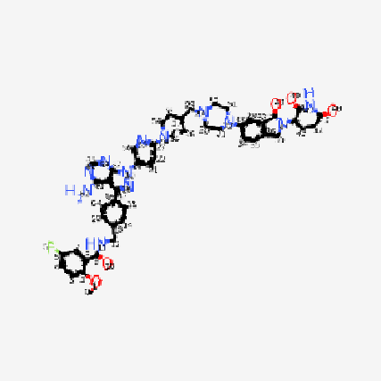 COc1ccc(F)cc1C(=O)NCc1ccc(-c2nn(-c3ccc(N4CCC(CN5CCN(c6ccc7c(c6)C(=O)N(C6CCC(=O)NC6=O)C7)CC5)CC4)nc3)c3ncnc(N)c23)cc1